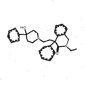 CCN1Cc2ccccc2C(CCN2CCC(O)(c3ccccc3)CC2)(c2ccccc2)C1=O